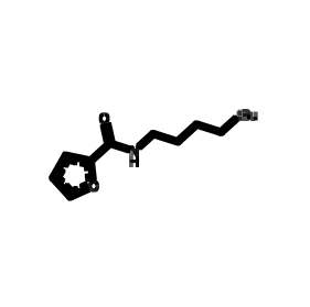 CC(C)(C)CCCCNC(=O)c1ccco1